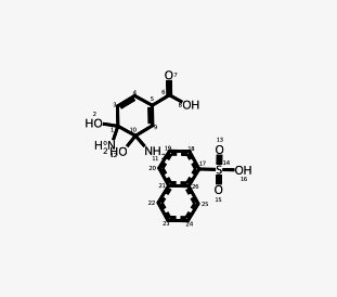 NC1(O)C=CC(C(=O)O)=CC1(N)O.O=S(=O)(O)c1cccc2ccccc12